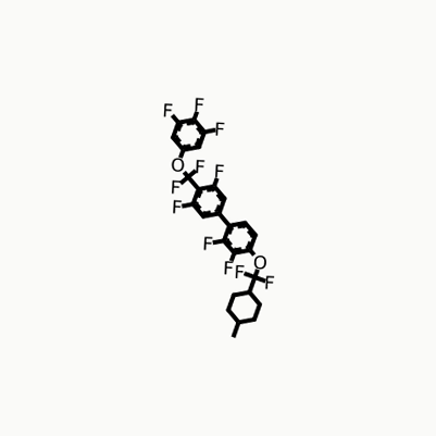 CC1CCC(C(F)(F)Oc2ccc(-c3cc(F)c(C(F)(F)Oc4cc(F)c(F)c(F)c4)c(F)c3)c(F)c2F)CC1